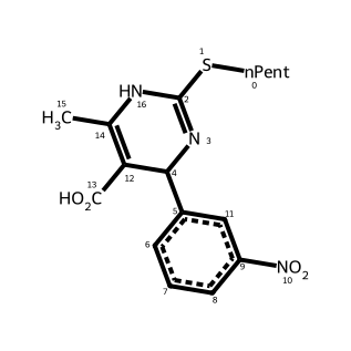 CCCCCSC1=NC(c2cccc([N+](=O)[O-])c2)C(C(=O)O)=C(C)N1